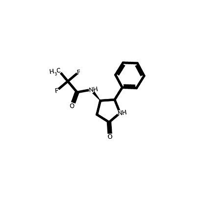 CC(F)(F)C(=O)N[C@@H]1CC(=O)NC1c1ccccc1